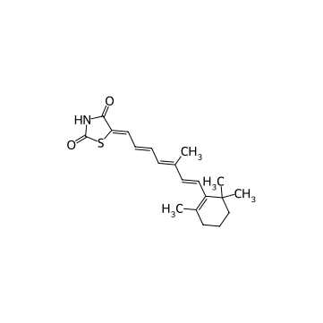 CC1=C(/C=C/C(C)=C/C=C/C=C2\SC(=O)NC2=O)C(C)(C)CCC1